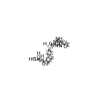 CN(CCN1CCN(c2cc(C(=O)NC[C@H](O)CO)c(F)cc2F)CC1)c1nc(N)n2nc(-c3ccco3)nc2n1